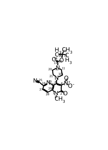 Cn1c(=O)c([N+](=O)[O-])c(N2CCN(C(=O)OC(C)(C)C)CC2)c2nc(C#N)ccc21